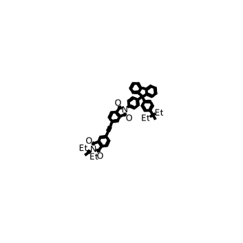 CCC(C)(CC)c1ccc(C2(c3ccc(N4C(=O)c5ccc(C#Cc6ccc7c(c6)C(=O)N(C(C)(CC)CC)C7=O)cc5C4=O)cc3)c3ccccc3-c3ccccc32)cc1